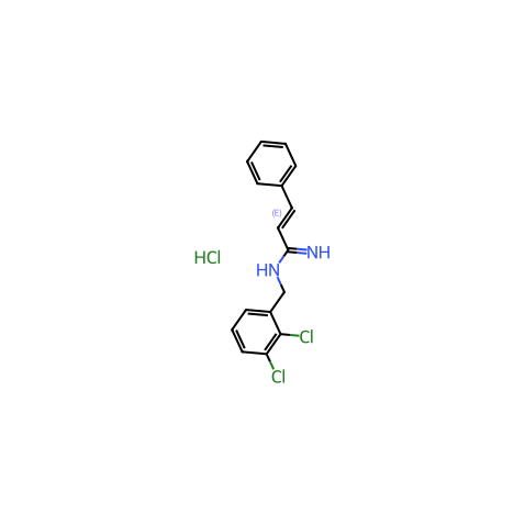 Cl.N=C(/C=C/c1ccccc1)NCc1cccc(Cl)c1Cl